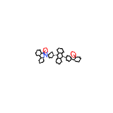 O=c1c2ccccc2c2ccccc2n1-c1ccc(-c2c3ccccc3c(-c3ccc4c(c3)oc3ccccc34)c3ccccc23)cc1